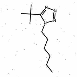 CCCCCCn1nnnc1C(C)(C)C